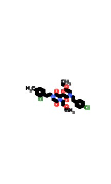 CCOC(=O)CN(CCc1ccc(Cl)cc1)C(=O)CC1C(=O)N(CCc2ccc(C)cc2Cl)CC(=O)N1CCOC